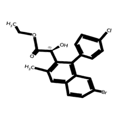 CCOC(=O)[C@@H](O)c1c(C)cc2ccc(Br)cc2c1-c1ccc(Cl)cc1